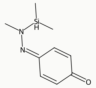 CN(N=C1C=CC(=O)C=C1)[SiH](C)C